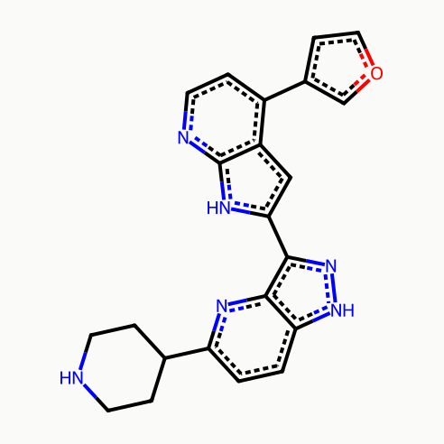 c1cc(-c2ccoc2)c2cc(-c3n[nH]c4ccc(C5CCNCC5)nc34)[nH]c2n1